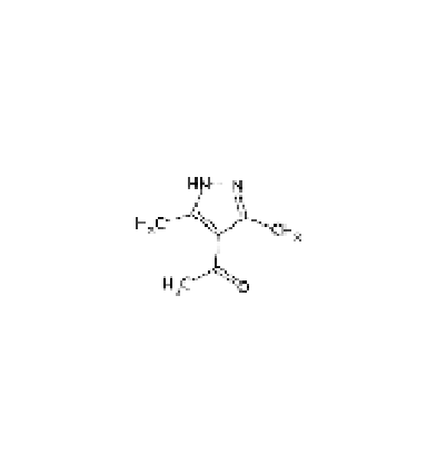 CC(=O)c1c(C)n[nH]c1C